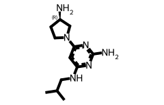 CC(C)CNc1cc(N2CC[C@@H](N)C2)nc(N)n1